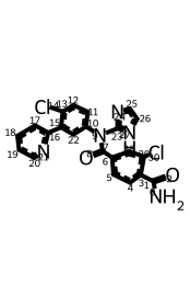 NC(=O)c1ccc(C(=O)N(c2ccc(Cl)c(-c3ccccn3)c2)c2ncc[nH]2)cc1Cl